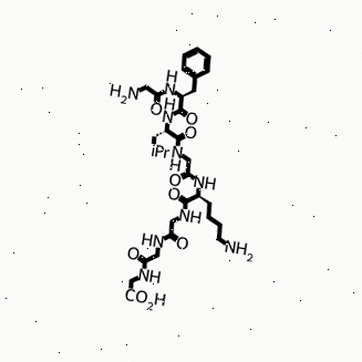 CC(C)C[C@H](NC(=O)[C@H](Cc1ccccc1)NC(=O)CN)C(=O)NCC(=O)N[C@@H](CCCCN)C(=O)NCC(=O)NCC(=O)NCC(=O)O